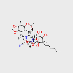 CCCCCCCC(=O)O[C@H]1CS[C@@H]2c3c(OC(C)=O)c(C)c4c(c3[C@H](COC1=O)N1C2[C@H]2c3c(cc(C)c(OC)c3O)C[C@@H]([C@@H]1C#N)N2C)OCO4